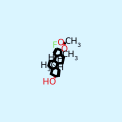 CC(=O)OC1C(F)=C[C@H]2[C@@H]3CCC4CC(O)C=C[C@]4(C)[C@@H]3CC[C@]12C